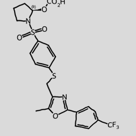 Cc1oc(-c2ccc(C(F)(F)F)cc2)nc1CSc1ccc(S(=O)(=O)N2CCC[C@H]2OC(=O)O)cc1